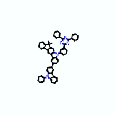 CC1(C)c2ccccc2-c2cc3c4cc(-c5ccc6c(c5)c5ccccc5n6-c5ccccc5)ccc4n(-c4cccc(-c5nc(-c6ccccc6)nc(-c6ccccc6)n5)c4)c3cc21